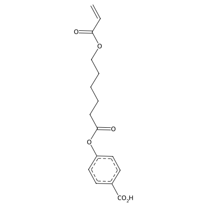 C=CC(=O)OCCCCCC(=O)Oc1ccc(C(=O)O)cc1